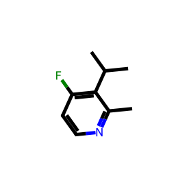 Cc1nccc(F)c1C(C)C